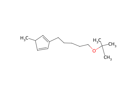 CC1C=CC(CCCCCOC(C)(C)C)=C1